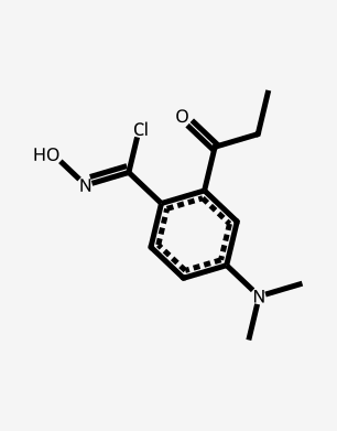 CCC(=O)c1cc(N(C)C)ccc1C(Cl)=NO